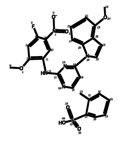 COc1cc(F)c([N+](=O)[O-])cc1Nc1nccc(-n2ccc3c(OC)cccc32)n1.Cc1ccccc1S(=O)(=O)O